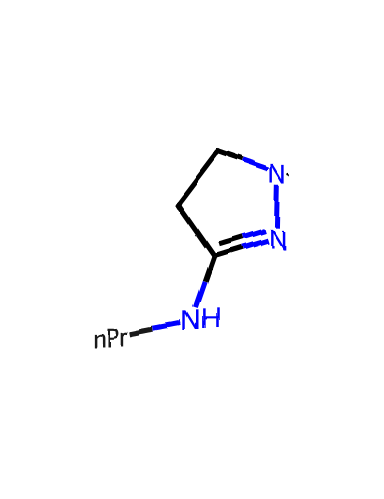 CCCNC1=N[N]CC1